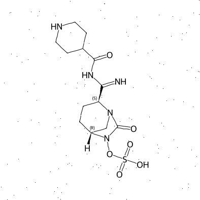 N=C(NC(=O)C1CCNCC1)[C@@H]1CC[C@@H]2CN1C(=O)N2OS(=O)(=O)O